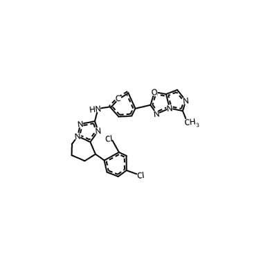 Cc1ncc2oc(-c3ccc(Nc4nc5n(n4)CCCC5c4ccc(Cl)cc4Cl)cc3)nn12